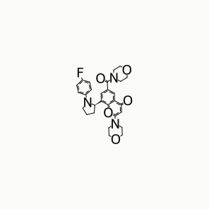 O=C(c1cc([C@H]2CCCN2c2ccc(F)cc2)c2oc(N3CCOCC3)cc(=O)c2c1)N1CCOCC1